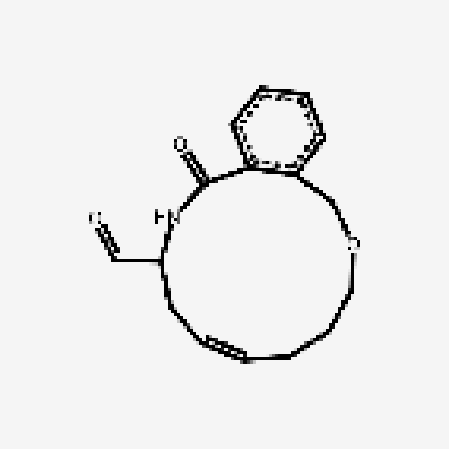 O=CC1C/C=C\CCCOCc2ccccc2C(=O)N1